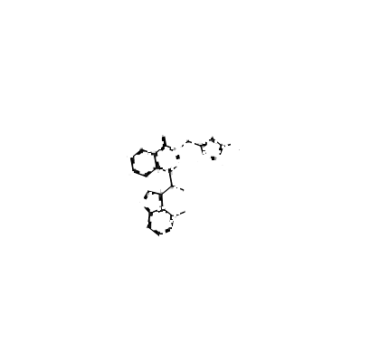 Cc1cccc2[nH]cc(C(C)c3nn(Cc4cc(O)no4)c(=O)c4ccccc34)c12